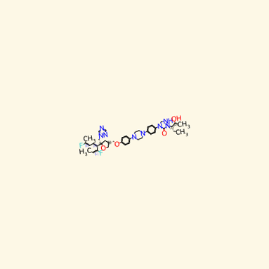 C\C=C(F)/C(=C\C=C(/C)F)[C@@]1(Cn2cncn2)C[C@H](COc2ccc(N3CCN(c4ccc(N5CNN([C@@H](CC)[C@H](C)O)C5=O)cc4)CC3)cc2)CO1